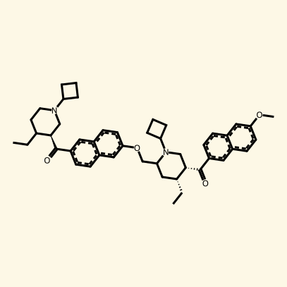 CCC1CCN(C2CCC2)C[C@H]1C(=O)c1ccc2cc(OCC3C[C@@H](CC)[C@@H](C(=O)c4ccc5cc(OC)ccc5c4)CN3C3CCC3)ccc2c1